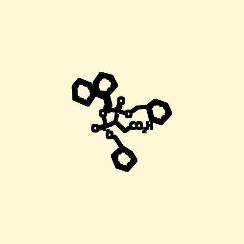 O=C(O)CC(P(=O)(OCc1ccccc1)OCc1ccccc1)P(=O)(OCc1ccccc1)OCc1ccccc1